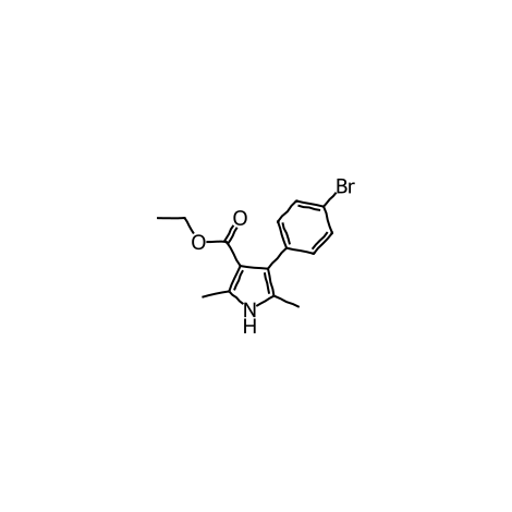 CCOC(=O)c1c(C)[nH]c(C)c1-c1ccc(Br)cc1